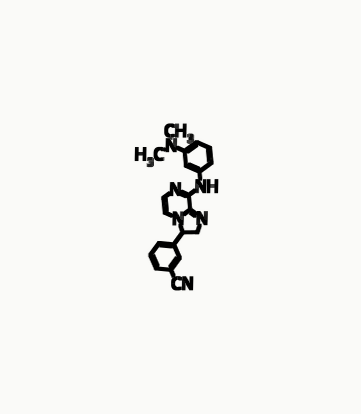 CN(C)c1cccc(NC2=NC=CN3C2=NCC3c2cccc(C#N)c2)c1